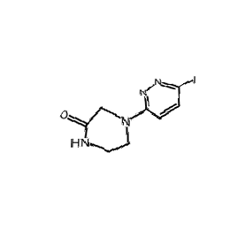 O=C1CN(c2ccc(I)nn2)CCN1